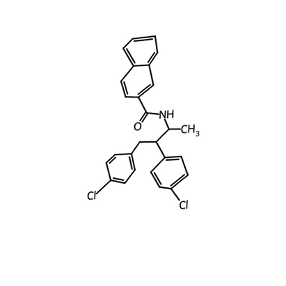 CC(NC(=O)c1ccc2ccccc2c1)C(Cc1ccc(Cl)cc1)c1ccc(Cl)cc1